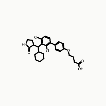 O=C(O)CCCOc1ccc(-c2ccc(Cl)c(C(C3CCCCC3)C3CCNC3=O)c2Cl)cc1